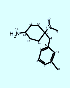 Cc1cccc(CC2(N(C)C)CCC(N)CC2)c1